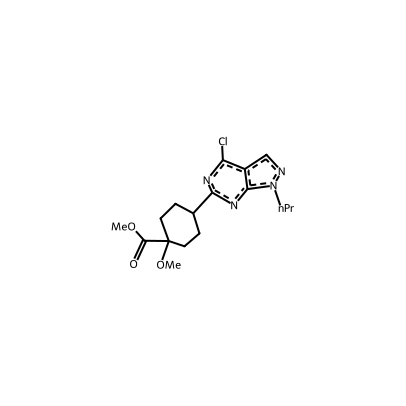 CCCn1ncc2c(Cl)nc(C3CCC(OC)(C(=O)OC)CC3)nc21